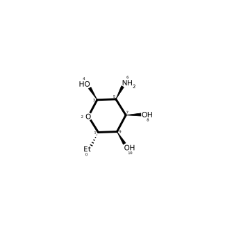 CC[C@@H]1O[C@@H](O)[C@@H](N)[C@@H](O)[C@H]1O